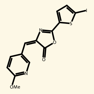 COc1ccc(C=C2N=C(c3ccc(I)s3)OC2=O)cn1